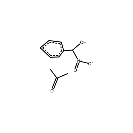 CC(C)=O.O=[N+]([O-])C(O)c1ccccc1